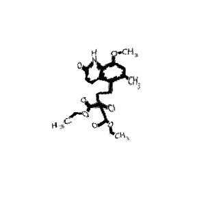 CCOC(=O)C(Cl)(CCc1c(C)cc(OC)c2[nH]c(=O)ccc12)C(=O)OCC